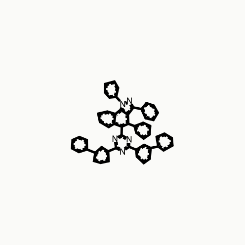 c1ccc(-c2cccc(-c3nc(-c4cccc(-c5ccccc5)c4)nc(-c4c(-c5ccccc5)c5c(-c6ccccc6)nn(-c6ccccc6)c5c5ccccc45)n3)c2)cc1